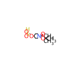 CC(C)(C)OC(=O)N1CCC(OC[SH](=O)=O)CC1